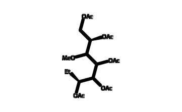 CC[C@H](OC(C)=O)C(OC(C)=O)C(OC(C)=O)C(OC)[C@@H](COC(C)=O)OC(C)=O